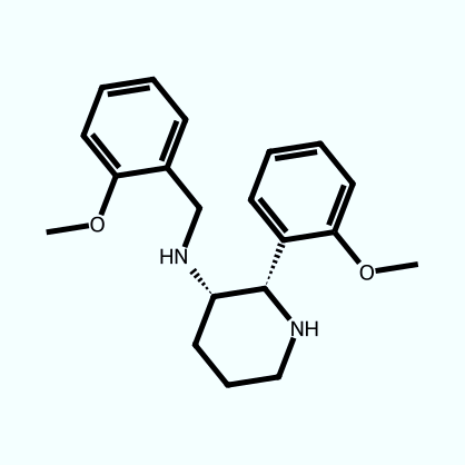 COc1ccccc1CN[C@H]1CCCN[C@H]1c1ccccc1OC